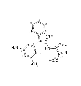 Cc1nc(N)cc(-c2c(Nc3ccnn3C(=O)O)nc3cccnn23)n1